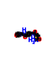 NC(=O)c1ccc(C(=O)NCc2ccc(C(=O)NCCN3CCOCC3)cc2)s1